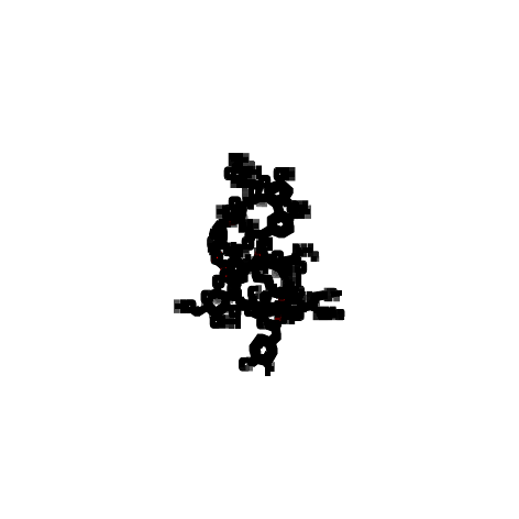 CN[C@H](CC(C)C)C(=O)N[C@H]1C(=O)N[C@@H](CC(N)=O)C(=O)N[C@H]2C(=O)N[C@H]3C(=O)N[C@H](C(=O)N[C@@H](C(=O)NNC(N)=O)c4cc(O)cc(O)c4-c4cc3ccc4O)[C@H](O)c3ccc(c(Cl)c3)Oc3cc2cc(c3O[C@@H]2O[C@H](CO)[C@@H](O)[C@H](O)[C@H]2O[C@H]2C[C@](C)(NCCn3ccc(NC(=O)Cc4ccc(Cl)c(F)c4)nc3=O)[C@H](O)[C@H](C)O2)Oc2ccc(cc2Cl)[C@H]1O